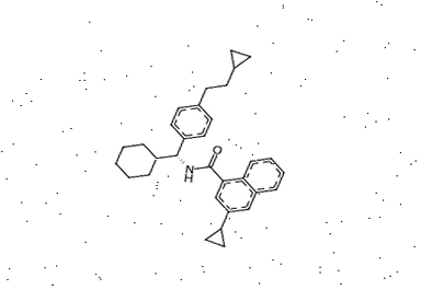 O=C(N[C@@H](c1ccc(CCC2CC2)cc1)C1CCCCC1)c1cc(C2CC2)cc2ccccc12